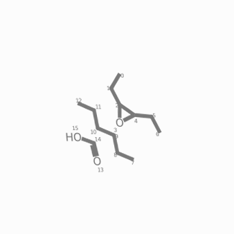 CCC1OC1CC.CCCCCC.O=CO